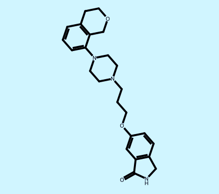 O=C1NCc2ccc(OCCCN3CCN(c4cccc5c4COCC5)CC3)cc21